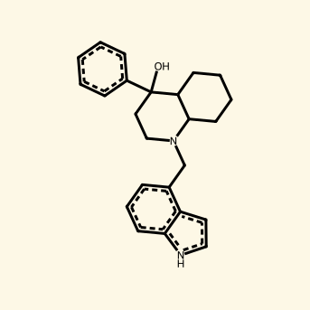 OC1(c2ccccc2)CCN(Cc2cccc3[nH]ccc23)C2CCCCC21